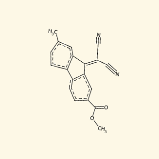 COC(=O)c1ccc2c(c1)C(=C(C#N)C#N)c1cc(C)ccc1-2